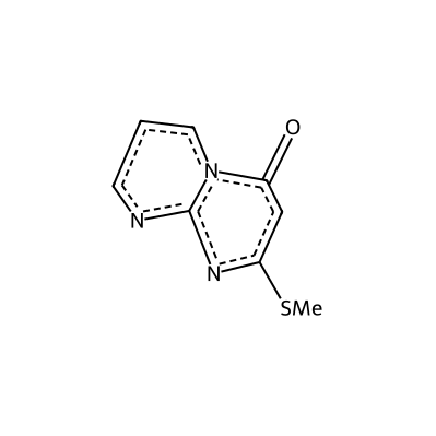 CSc1cc(=O)n2cccnc2n1